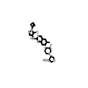 Cc1cc2cnc(Nc3cnn(C45CC(C4)C5)c3Cl)nc2cc1[C@H]1CCN([C@@H]2COC[C@@H]2O)C[C@@H]1F